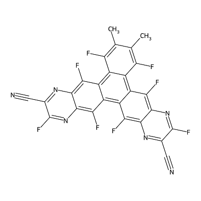 Cc1c(C)c(F)c2c(c1F)c1c(F)c3nc(C#N)c(F)nc3c(F)c1c1c(F)c3nc(C#N)c(F)nc3c(F)c21